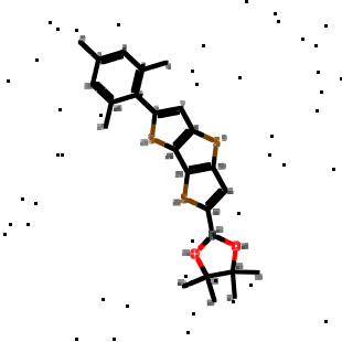 Cc1cc(C)c(-c2cc3sc4cc(B5OC(C)(C)C(C)(C)O5)sc4c3s2)c(C)c1